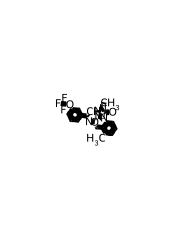 CC(=NOCc1c(C)cccc1-n1nnn(C)c1=O)c1cccc(OC(F)(F)F)c1